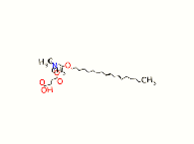 CCCCCC=CCC=CCCCCCCCCOC(COC(=O)CCC(=O)O)CN(C)C